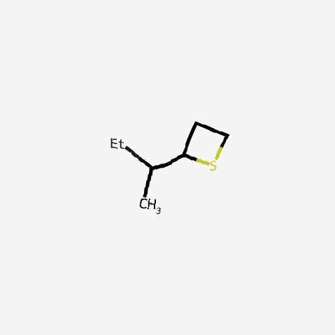 [CH2]CC(C)C1CCS1